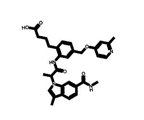 CNC(=O)c1ccc2c(C)cn(C(C)C(=O)Nc3cc(COc4ccnc(C)c4)ccc3CCCC(=O)O)c2c1